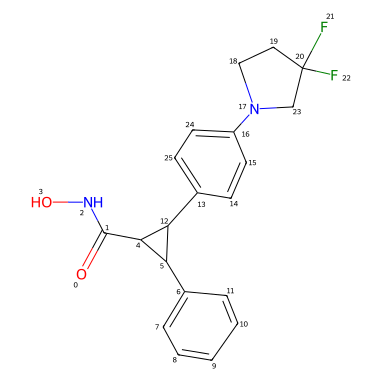 O=C(NO)C1C(c2ccccc2)C1c1ccc(N2CCC(F)(F)C2)cc1